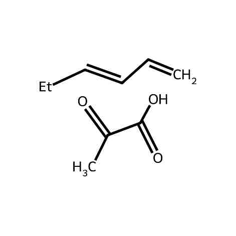 C=C/C=C/CC.CC(=O)C(=O)O